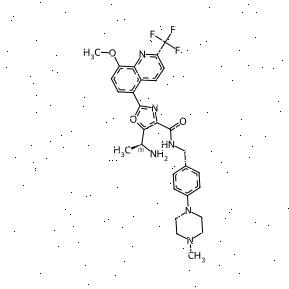 COc1ccc(-c2nc(C(=O)NCc3ccc(N4CCN(C)CC4)cc3)c([C@H](C)N)o2)c2ccc(C(F)(F)F)nc12